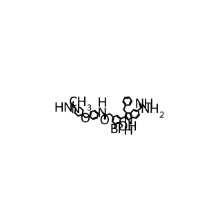 CC(=N)N1CCC(Oc2ccc(NC(=O)Cc3cc(Br)c(O)c(-c4[nH]c5ccc(C(=N)N)cc5c4Cc4ccccc4)c3)cc2)CC1